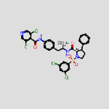 O=C(Nc1ccc(CC(NC(=O)[C@H]2C(c3ccccc3)CCN2S(=O)(=O)c2cc(Cl)cc(Cl)c2)C(=O)O)cc1)c1c(Cl)cncc1Cl